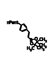 CCCCCc1ccc(C=CB2OC(C)(C)C(C)(C)O2)cc1